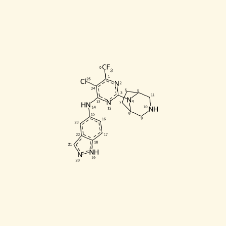 FC(F)(F)c1nc(N2C3CCC2CNC3)nc(Nc2ccc3[nH]ncc3c2)c1Cl